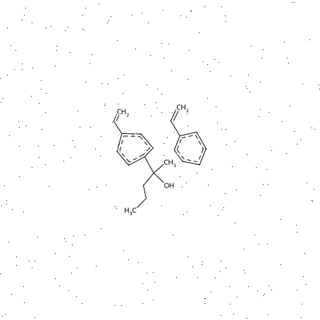 C=Cc1ccc(C(C)(O)CCC)cc1.C=Cc1ccccc1